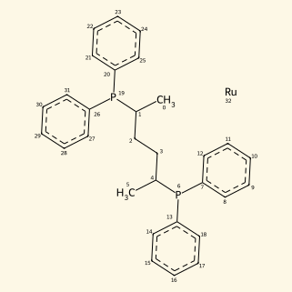 CC(CCC(C)P(c1ccccc1)c1ccccc1)P(c1ccccc1)c1ccccc1.[Ru]